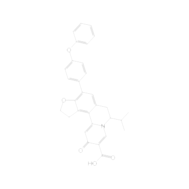 CC(C)C1Cc2cc(-c3ccc(Oc4ccccc4)cc3)c3c(c2-c2cc(=O)c(C(=O)O)cn21)CCO3